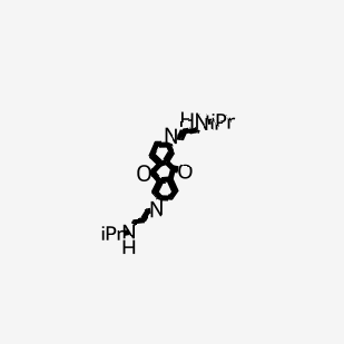 CC(C)NCC=CN=C1C=C2C(=O)C3=CCC(=NC=CCNC(C)C)C=C3C(=O)C2=CC1